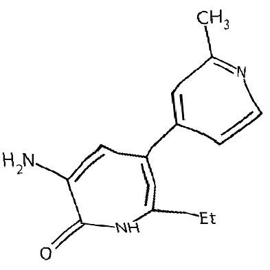 CCc1[nH]c(=O)c(N)cc1-c1ccnc(C)c1